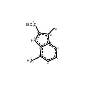 CCOC(=O)c1[nH]c2c(N)cccc2c1C